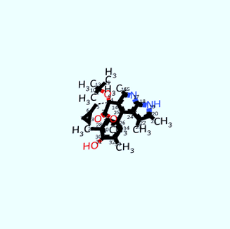 COC(=O)[C@@](CC1CC1)(OC(C)(C)C)c1c(C)nc2[nH]c(C)c(C)c2c1-c1cc(C)c(O)c(C)c1